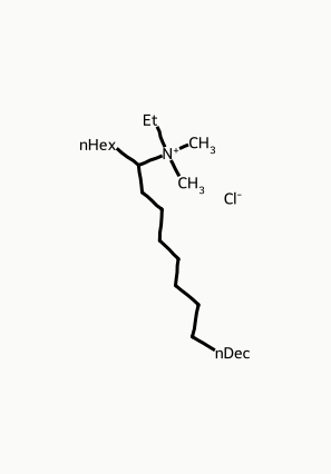 CCCCCCCCCCCCCCCCCC(CCCCCC)[N+](C)(C)CC.[Cl-]